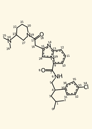 CC(C)CC(CNC(=O)c1cccc2nc(CC(=O)N3CCCC(N(C)C)C3)cn12)c1ccc(Cl)cc1